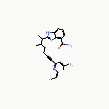 CCC\C=C/N=C(C#CCCC(C)C(C)c1nc2c(C(N)=O)cccc2[nH]1)\C=C(/C)C(F)(F)F